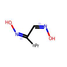 CCCC(/C=N\O)=N/O